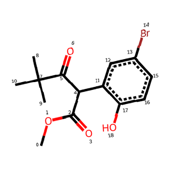 COC(=O)C(C(=O)C(C)(C)C)c1cc(Br)ccc1O